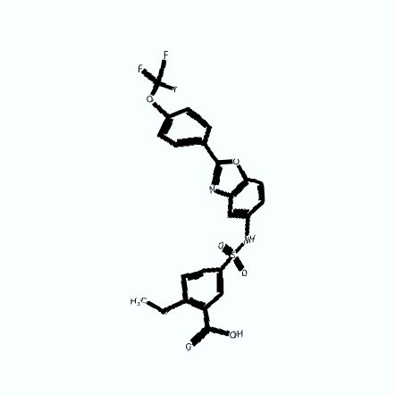 CCc1ccc(S(=O)(=O)Nc2ccc3oc(-c4ccc(OC(F)(F)F)cc4)nc3c2)cc1C(=O)O